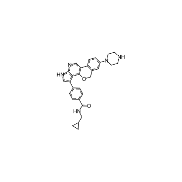 O=C(NCC1CC1)c1ccc(-c2c[nH]c3ncc4c(c23)OCc2cc(N3CCNCC3)ccc2-4)cc1